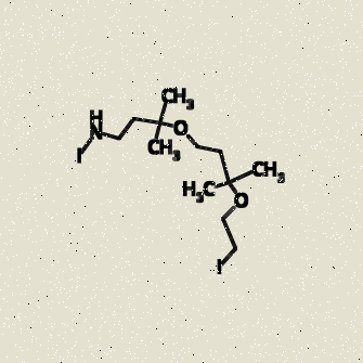 CC(C)(CCNI)OCCC(C)(C)OCCI